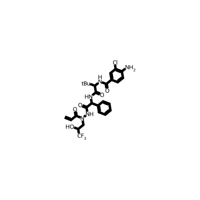 C=CC(=O)N(CC(O)C(F)(F)F)NC(=O)C(NC(=O)C(NC(=O)c1ccc(N)c(Cl)c1)C(C)(C)C)c1ccccc1